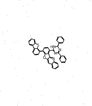 c1ccc(C2=NC(c3ccccc3)NC(c3ccc(-c4cccc5c4sc4ccccc45)c4oc5cc6ccccc6nc5c34)=N2)cc1